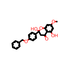 COc1cc(O)c2c(c1)OC(O)(c1ccc(OCc3ccccc3)cc1)CC2=O